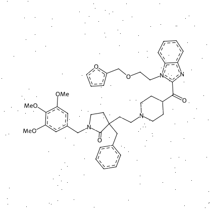 COc1cc(CN2CCC(CCN3CCC(C(=O)c4nc5ccccc5n4CCOCc4ccco4)CC3)(Cc3ccccc3)C2=O)cc(OC)c1OC